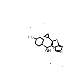 OC1CCC(C(O)c2c(C3CC3)sc3cncn23)CC1